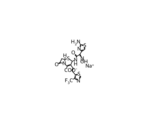 Nc1nc(C(=NO)C(=O)NC2S[C@H]3CC(=O)N3C(C(=O)[O-])=C2C=Cc2scnc2C(F)(F)F)cs1.[Na+]